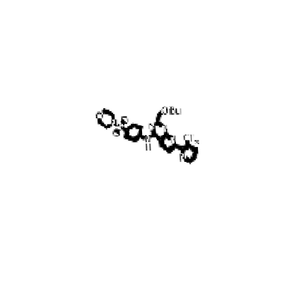 CC(C)COCc1nc(Nc2ccc(S(=O)(=O)N3CCOCC3)cc2)c2ccc(-c3ncccc3C(F)(F)F)nc2n1